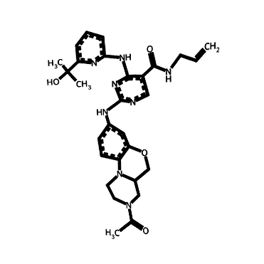 C=CCNC(=O)c1cnc(Nc2ccc3c(c2)OCC2CN(C(C)=O)CCN32)nc1Nc1cccc(C(C)(C)O)n1